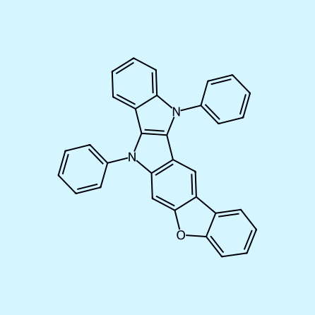 c1ccc(-n2c3ccccc3c3c2c2cc4c(cc2n3-c2ccccc2)oc2ccccc24)cc1